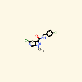 Cn1nc(C(=O)NCc2ccc(Cl)cc2)c2cc(Cl)ncc21